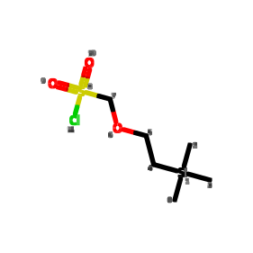 C[Si](C)(C)CCOCS(=O)(=O)Cl